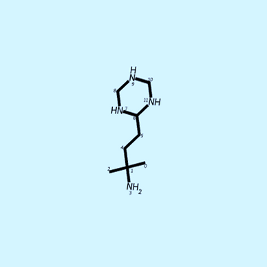 CC(C)(N)CCC1NCNCN1